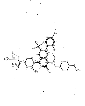 CCN1CCC(C[C@H]2CSc3c(-c4ccc(F)cc4F)c(C(F)(F)F)cc4c(N5CCN(C(=O)OC(C)(C)C)CC5C)nc(=O)n2c34)CC1